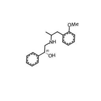 COc1ccccc1CC(C)NC[C@H](O)c1ccccc1